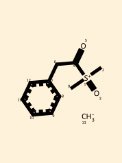 C[S+](C)(=O)C(=O)Cc1ccccc1.[CH3-]